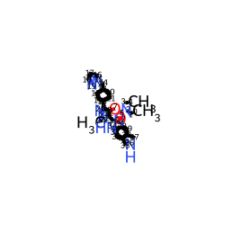 CCN(CC)C(=O)Oc1c(-c2ccc(Cn3cccn3)cc2)nn(C)c1-c1nc2cc3c(cc2[nH]1)CNC3